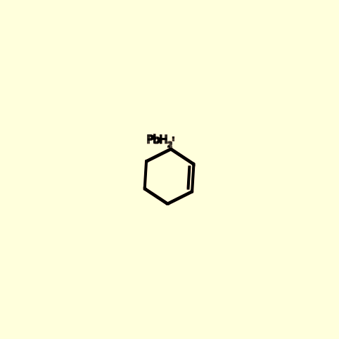 C1=CCCCC1.[PbH2]